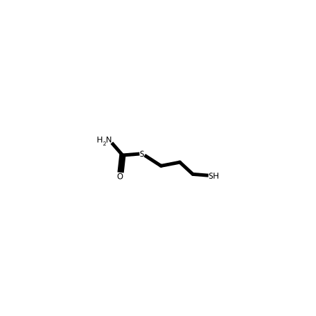 NC(=O)SCCCS